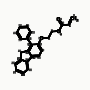 C=CC(=O)OCCOc1ccc2c(c1-c1ccccc1)Cc1ccccc1-2